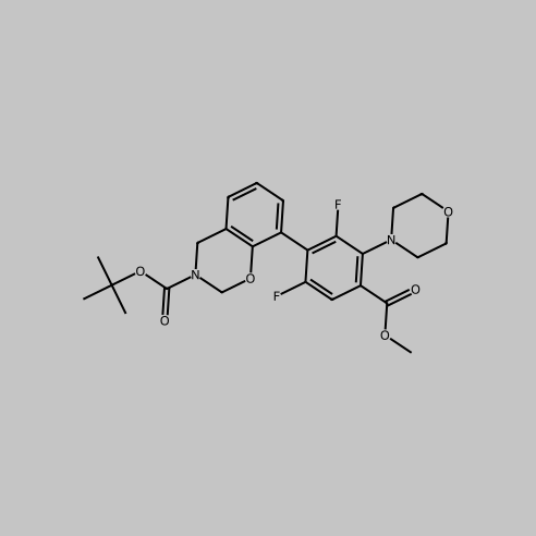 COC(=O)c1cc(F)c(-c2cccc3c2OCN(C(=O)OC(C)(C)C)C3)c(F)c1N1CCOCC1